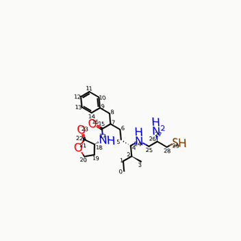 CC[C@H](C)[C@H](CCC(Cc1ccccc1)C(=O)N[C@@H]1CCOC1=O)NC[C@@H](N)CS